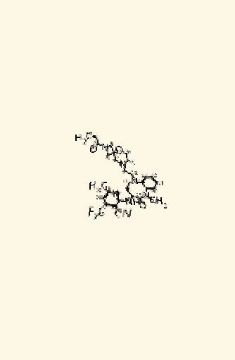 C=CC(=O)N1CC2(CN(CCN3CC[C@H](Nc4nc(C)cc(C(F)(F)F)c4C#N)C(=O)N(C)c4ccccc43)CCO2)C1